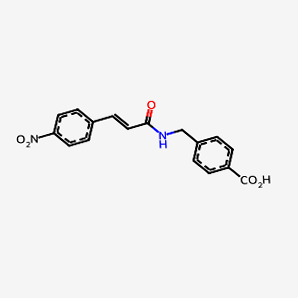 O=C(C=Cc1ccc([N+](=O)[O-])cc1)NCc1ccc(C(=O)O)cc1